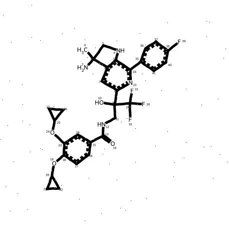 CC1(N)CNc2c1cc(C(O)(CNC(=O)c1ccc(OC3CC3)c(OC3CC3)c1)C(F)(F)F)nc2-c1ccc(F)cc1